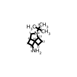 CC(C)(C)N1CC2CC(N)C23CCC13